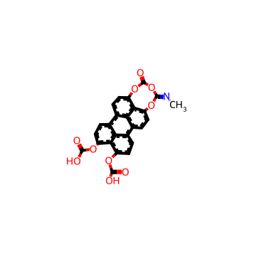 CN=C1OC(=O)Oc2ccc3c4ccc(OC(=O)O)c5c(OC(=O)O)ccc(c6ccc(c2c36)O1)c54